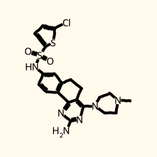 CN1CCN(c2nc(N)nc3c2CCc2cc(NS(=O)(=O)c4ccc(Cl)s4)ccc2-3)CC1